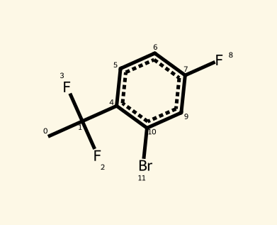 CC(F)(F)c1ccc(F)cc1Br